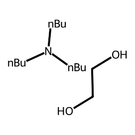 CCCCN(CCCC)CCCC.OCCO